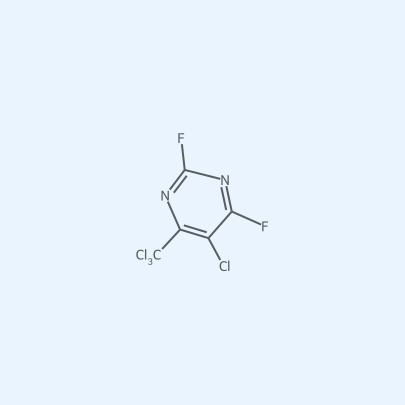 Fc1nc(F)c(Cl)c(C(Cl)(Cl)Cl)n1